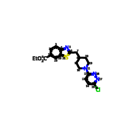 CCOC(=O)c1ccc2nc(CC3CCN(c4ccc(Cl)nn4)CC3)sc2c1